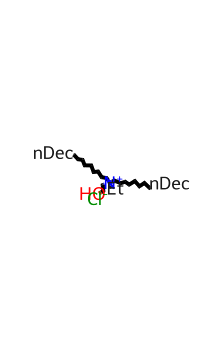 CCCCCCCCCCCCCCCCCCC[N+](CC)(CCO)CCCCCCCCCCCCCCCCCC.[Cl-]